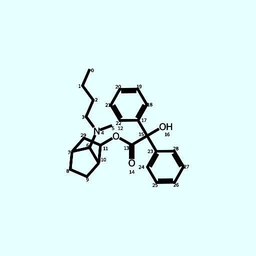 CCCCN(C)C1C2CCC1C(OC(=O)C(O)(c1ccccc1)c1ccccc1)C2